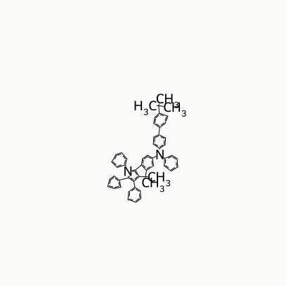 CC(C)(C)c1ccc(-c2ccc(N(c3ccccc3)c3ccc4c(c3)C(C)(C)c3c(-c5ccccc5)c(-c5ccccc5)n(-c5ccccc5)c3-4)cc2)cc1